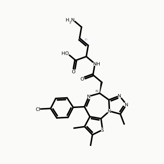 Cc1sc2c(c1C)C(c1ccc(Cl)cc1)=N[C@@H](CC(=O)NC(/C=C/CN)C(=O)O)c1nnc(C)n1-2